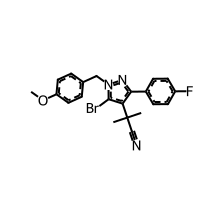 COc1ccc(Cn2nc(-c3ccc(F)cc3)c(C(C)(C)C#N)c2Br)cc1